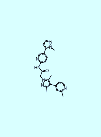 Cc1cc(-c2c(C)nn(CC(=O)Nc3ccc(-c4ccnn4C)cn3)c2C)ccn1